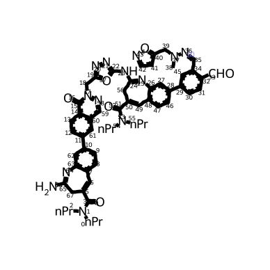 CCCN(CCC)C(=O)C1=Cc2ccc(-c3ccc4c(=O)n(Cc5nnc(NC6=Nc7cc(-c8ccc(C=O)c(/C=N\N(C)Cc9ccno9)c8)ccc7C=C(C(=O)N(CCC)CCC)C6)o5)ncc4c3)cc2N=C(N)C1